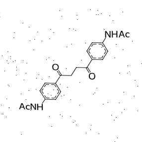 CC(=O)Nc1ccc(C(=O)CCC(=O)c2ccc(NC(C)=O)cc2)cc1